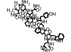 CNC(=O)C(NC(=O)C(CC(N)=O)NC(=O)C(CCC(N)=O)NC(=O)C1CCCN1C(=O)C(NC(=O)C(Cc1ccc(O)cc1)NC(=O)CNC(=O)C(Cc1ccc(O)cc1)NC(=O)C(Cc1c[nH]c2ccccc12)NC(=O)C(Cc1c[nH]cn1)NC=O)C(C)O)C(C)C